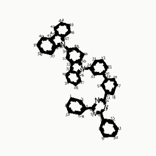 c1ccc(-c2nc(-c3ccccc3)nc(-c3cccc(-c4cccc(-n5c6ccccc6c6cc(-n7c8ccccc8c8ccccc87)ccc65)c4)c3)n2)cc1